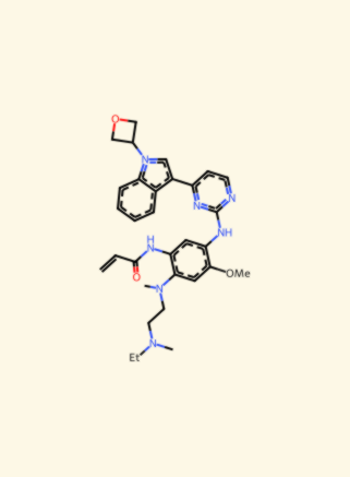 C=CC(=O)Nc1cc(Nc2nccc(-c3cn(C4COC4)c4ccccc34)n2)c(OC)cc1N(C)CCN(C)CC